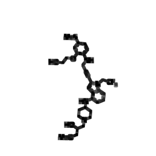 COCC(O)CN1CCC(Nc2cccc3c2cc(C#CCNc2ccc(SC)cc2OCCO)n3CC(F)(F)F)CC1